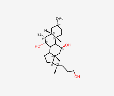 CC[C@H]1[C@@H](O)C2C3CC[C@H]([C@H](C)CCCO)[C@@]3(C)C[C@H](O)C2[C@@]2(C)CC[C@@H](OC(C)=O)C[C@@H]12